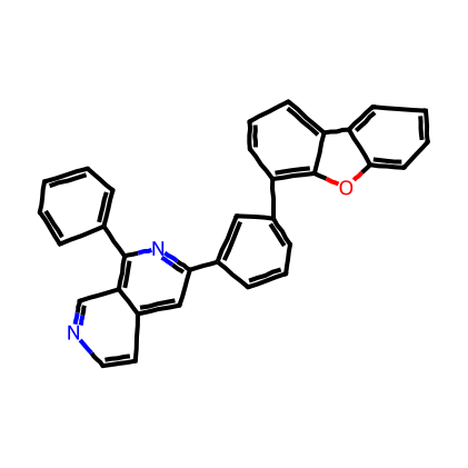 c1ccc(-c2nc(-c3cccc(-c4cccc5c4oc4ccccc45)c3)cc3ccncc23)cc1